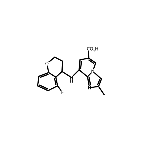 Cc1cn2cc(C(=O)O)cc(NC3CCOc4cccc(F)c43)c2n1